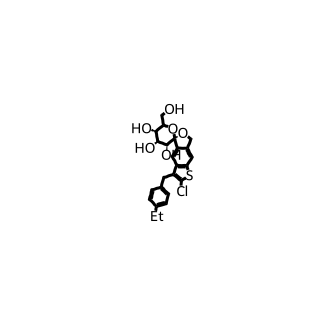 CCc1ccc(Cc2c(Cl)sc3cc4c(cc23)[C@]2(OC4)OC(CO)[C@H](O)[C@H](O)[C@H]2O)cc1